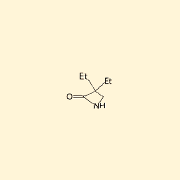 CCC1(CC)CNC1=O